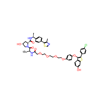 Cc1ncsc1-c1ccc([C@H](C)NC(=O)[C@@H]2C[C@@H](O)CN2C(=O)C(NC(=O)COCCOCCOCCOc2ccc(Oc3c(-c4ccc(Cl)cc4)sc4cc(O)ccc34)cc2)C(C)(C)C)cc1